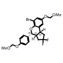 COCOc1ccc([C@@H]2Oc3c(Br)cc(OCOC)cc3[C@@H]3CC(F)(F)C[C@@H]32)cc1